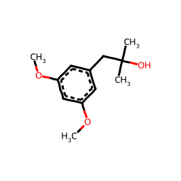 COc1cc(CC(C)(C)O)cc(OC)c1